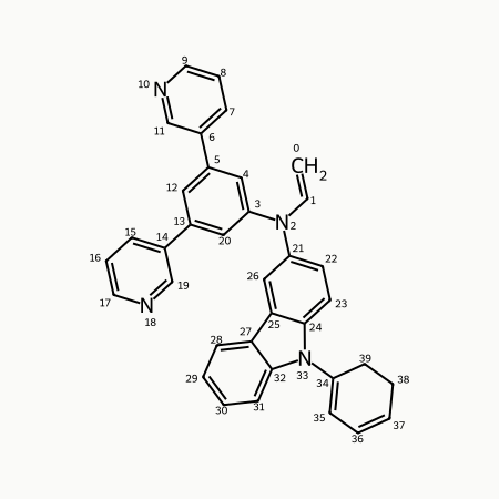 C=CN(c1cc(-c2cccnc2)cc(-c2cccnc2)c1)c1ccc2c(c1)c1ccccc1n2C1=CC=CCC1